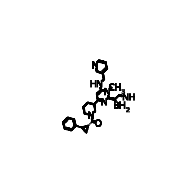 B/C(C=N)=C1\N=C(C2CCCN(C(=O)[C@@H]3C[C@H]3c3ccccc3)C2)C=C(NCc2cccnc2)N1C